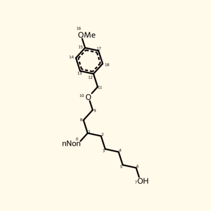 CCCCCCCCCC(CCCCCO)CCOCc1ccc(OC)cc1